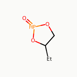 CCC1CO[PH](=O)O1